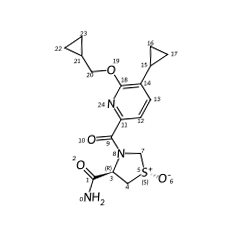 NC(=O)[C@@H]1C[S@@+]([O-])CN1C(=O)c1ccc(C2CC2)c(OCC2CC2)n1